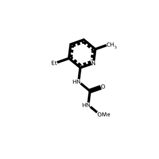 CCc1ccc(C)nc1NC(=O)NOC